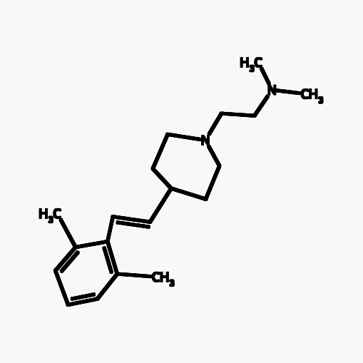 Cc1cccc(C)c1C=CC1CCN(CCN(C)C)CC1